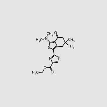 CCOC(=O)c1csc(-c2sc(N(C)C)c3c2CC(C)(C)CC3=O)n1